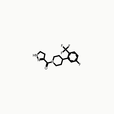 O=C(C1=NNCC1)N1CCC(c2cc(F)ccc2C(F)(F)F)CC1